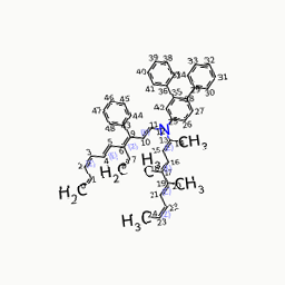 C=C\C=C/C=C/C(C=C)=C(/C=C/N(/C(C)=C/C=C(C)/C(C)=C/C=C\C)c1ccc(-c2ccccc2)c(-c2ccccc2)c1)c1ccccc1